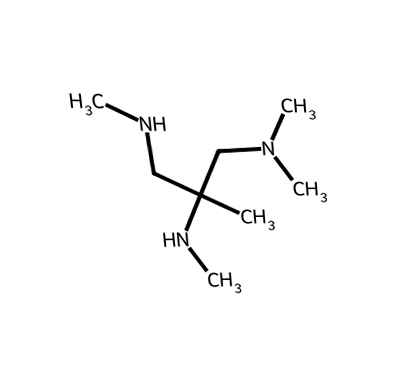 CNCC(C)(CN(C)C)NC